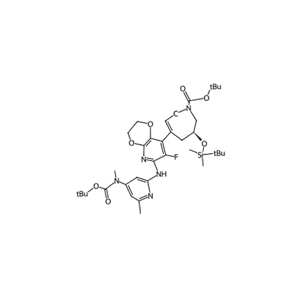 Cc1cc(N(C)C(=O)OC(C)(C)C)cc(Nc2nc3c(c(C4=CCN(C(=O)OC(C)(C)C)C[C@@H](O[Si](C)(C)C(C)(C)C)C4)c2F)OCCO3)n1